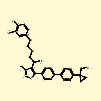 Cc1noc(-c2ccc(-c3ccc(C4(CC(=O)O)CC4)cc3)cc2)c1C(O)CCCCc1ccc(Cl)c(Cl)c1